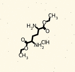 CCOC(=O)C(N)CCC(N)C(=O)OCC.Cl